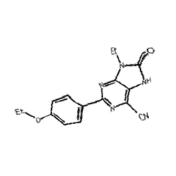 CCOc1ccc(-c2nc(C#N)c3[nH]c(=O)n(CC)c3n2)cc1